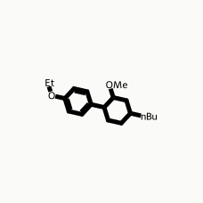 CCCCC1CCC(c2ccc(OCC)cc2)C(OC)C1